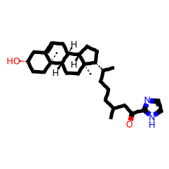 CC(CCCC(C)[C@H]1CC[C@H]2[C@@H]3CC=C4C[C@@H](O)CC[C@]4(C)[C@H]3CC[C@]12C)CC(=O)c1ncc[nH]1